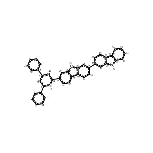 c1ccc(-c2nc(-c3ccccc3)nc(-c3ccc4c(c3)oc3cc(-c5ccc6c(c5)sc5ccccc56)ccc34)n2)cc1